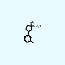 CCCC1(C(=O)O)CCC(c2ccnc(C)c2)C1